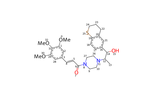 COc1cc(C=CC(=O)N2CCN(C(C)C(O)c3ccc4c(c3)CCCS4)CC2)cc(OC)c1OC